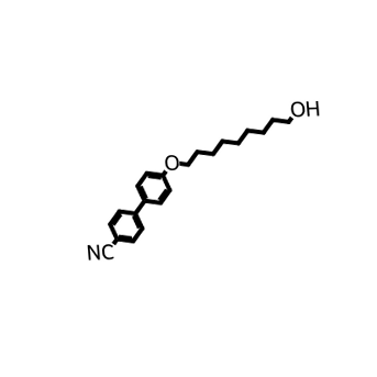 N#Cc1ccc(-c2ccc(OCCCCCCCCCO)cc2)cc1